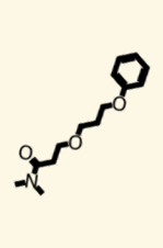 CN(C)C(=O)CCOCCCOc1ccccc1